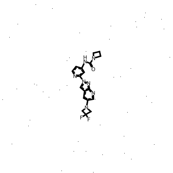 O=C(Nc1ccnc(-n2cc3cc(N4CC(F)(F)C4)cnc3n2)c1)N1CCC1